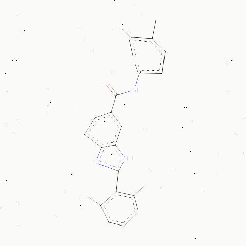 Cc1ccc(NC(=O)c2ccc3nc(-c4c(Cl)cccc4Cl)[nH]c3c2)cc1Cl